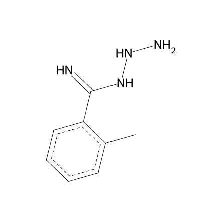 Cc1ccccc1C(=N)NNN